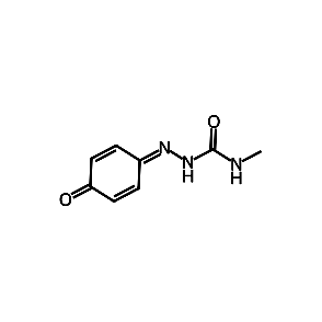 CNC(=O)NN=C1C=CC(=O)C=C1